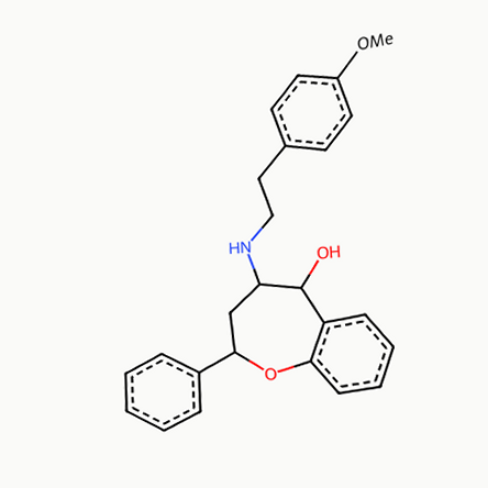 COc1ccc(CCNC2CC(c3ccccc3)Oc3ccccc3C2O)cc1